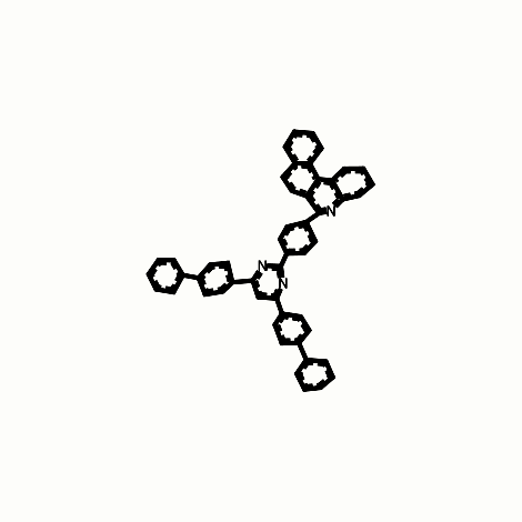 c1ccc(-c2ccc(-c3cc(-c4ccc(-c5ccccc5)cc4)nc(-c4ccc(-c5nc6ccccc6c6c5ccc5ccccc56)cc4)n3)cc2)cc1